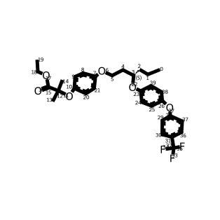 CCC[C@@H](CCOc1ccc(OC(C)(C)C(=O)OCC)cc1)Oc1ccc(Oc2ccc(C(F)(F)F)cc2)cc1